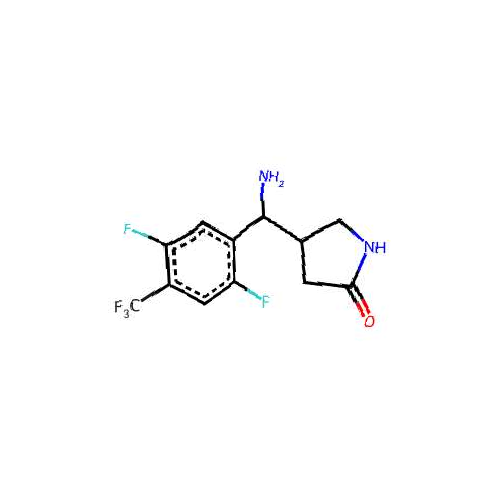 NC(c1cc(F)c(C(F)(F)F)cc1F)C1CNC(=O)C1